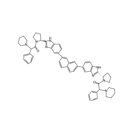 O=C(C(c1ccccc1)N1CCCCC1)N1CCC[C@H]1c1nc2cc(-c3ccc4ccc(-c5ccc6[nH]c([C@@H]7CCCN7C(=O)C(c7ccccc7)N7CCCCC7)nc6c5)cc4c3)ccc2[nH]1